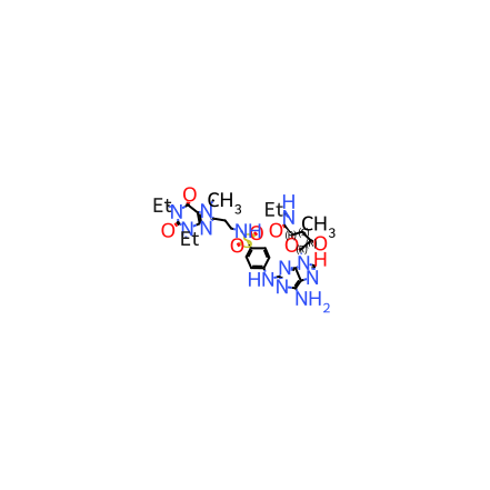 CCNC(=O)[C@@H]1O[C@@H](n2cnc3c(N)nc(Nc4ccc(S(=O)(=O)NCCc5nc6c(c(=O)n(CC)c(=O)n6CC)n5C)cc4)nc32)[C@H](O)[C@@H]1C